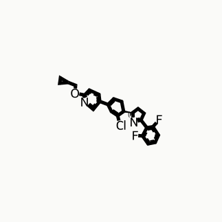 Fc1cccc(F)c1C1=N[C@@H](C2CC=C(c3ccc(OCC4CC4)nc3)C=C2Cl)CC1